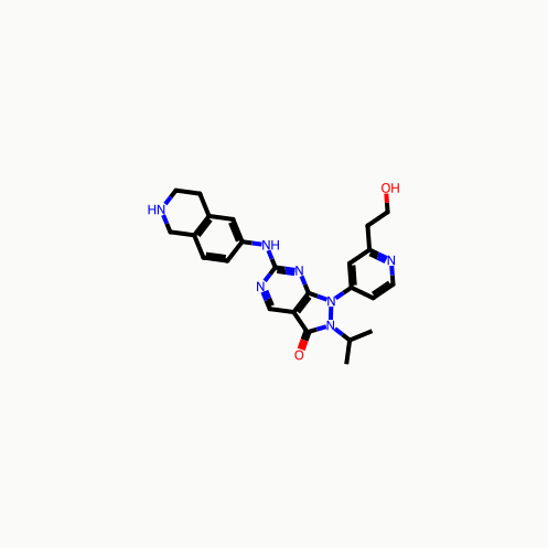 CC(C)n1c(=O)c2cnc(Nc3ccc4c(c3)CCNC4)nc2n1-c1ccnc(CCO)c1